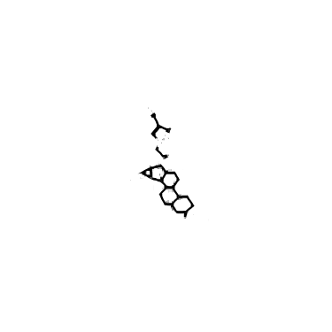 C[C@H]1C2[C@H]1[C@H](C(=O)Cn1cc(C#N)c(F)n1)[C@@]1(C)CC[C@H]3[C@@H](CC[C@@H]4C[C@](C)(O)CC[C@@H]43)[C@H]21